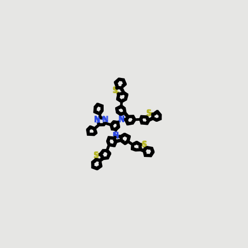 c1ccc(-c2cc(-c3cc(-n4c5ccc(-c6ccc7c(c6)sc6ccccc67)cc5c5cc(-c6ccc7c(c6)sc6ccccc67)ccc54)cc(-n4c5ccc(-c6ccc7c(c6)sc6ccccc67)cc5c5cc(-c6ccc7c(c6)sc6ccccc67)ccc54)c3)nc(-c3ccccc3)n2)cc1